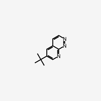 CC(C)(C)c1cnc2nnccc2c1